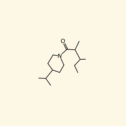 CCC(C)C(C)C(=O)N1CCC(C(C)C)CC1